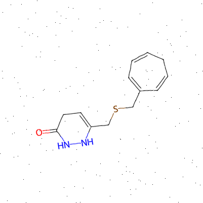 O=C1CC=C(CSCC2=CC=CCC=C2)NN1